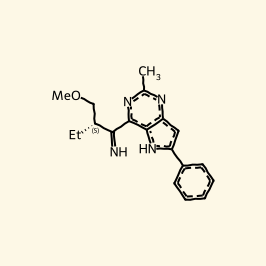 CC[C@H](COC)C(=N)c1nc(C)nc2cc(-c3ccccc3)[nH]c12